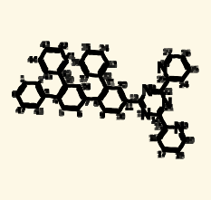 c1ccc(-c2ccc(-c3ccc(-c4nc(-c5ccccn5)nc(-c5ccccn5)n4)cc3-c3ccccc3)cc2-c2ccccc2)cc1